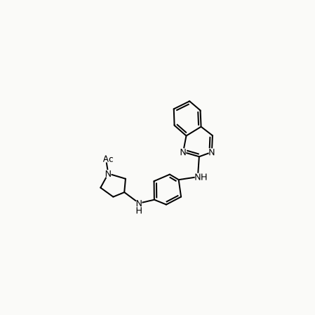 CC(=O)N1CCC(Nc2ccc(Nc3ncc4ccccc4n3)cc2)C1